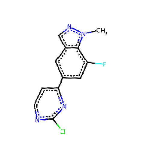 Cn1ncc2cc(-c3ccnc(Cl)n3)cc(F)c21